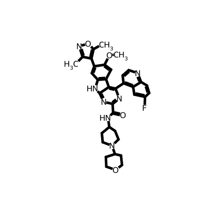 COc1cc2c(cc1-c1c(C)noc1C)[nH]c1nc(C(=O)NC3CCN(C4CCOCC4)CC3)nc(-c3ccnc4ccc(F)cc34)c12